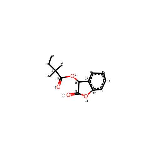 CCC(C)(C)C(=O)OC1C(=O)Oc2ccccc21